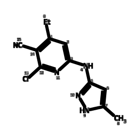 CCc1cc(Nc2cc(C)[nH]n2)nc(Cl)c1C#N